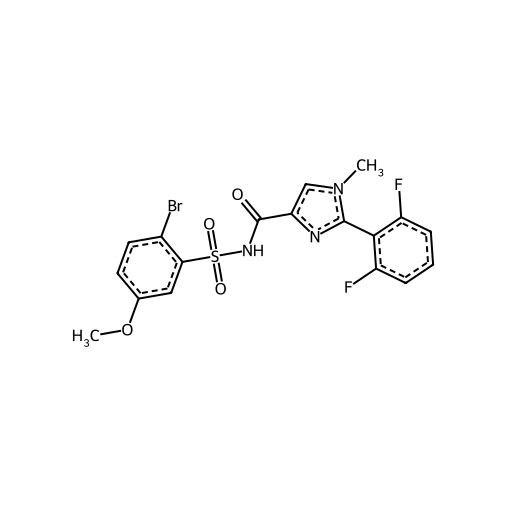 COc1ccc(Br)c(S(=O)(=O)NC(=O)c2cn(C)c(-c3c(F)cccc3F)n2)c1